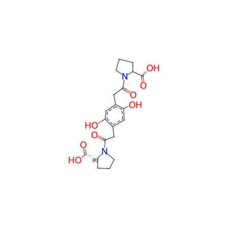 O=C(O)C1CCCN1C(=O)Cc1cc(O)c(CC(=O)N2CCC[C@@H]2C(=O)O)cc1O